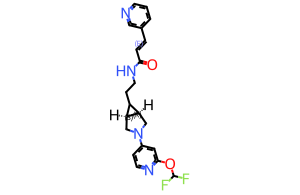 O=C(/C=C/c1cccnc1)NCCC1[C@H]2CN(c3ccnc(OC(F)F)c3)C[C@@H]12